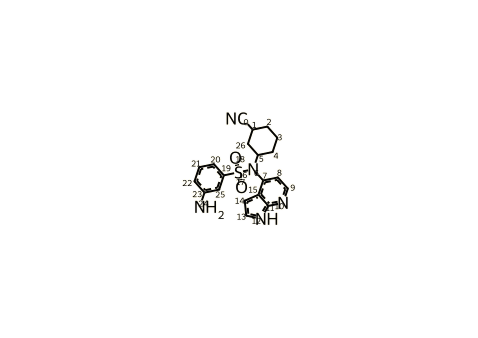 N#CC1CCCC(N(c2ccnc3[nH]ccc23)S(=O)(=O)c2cccc(N)c2)C1